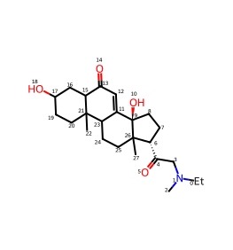 CCN(C)CC(=O)[C@H]1CC[C@@]2(O)C3=CC(=O)C4CC(O)CCC4(C)C3CCC12C